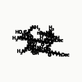 CCCCCCCCCCCCCCCC(=O)OCC(CSCC(N)C(=O)NC(CO)C(=O)NC(CCCCN)C(=O)NC(CCCCNC(=O)c1ccc(Cn2c(O)nc3c(N)nc(NCCCC)nc32)cc1)C(=O)NC(CCCCN)C(=O)NC(CCCCN)C(=O)O)OC(=O)CCCCCCCCCCCCCCC